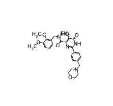 COc1cccc(CN(C)C(=O)c2nc(-c3ccc(CN4CCOCC4)cc3)[nH]c(=O)c2O)c1OC